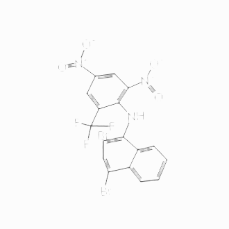 O=[N+]([O-])c1cc([N+](=O)[O-])c(Nc2c(Br)cc(Br)c3ccccc23)c(C(F)(F)F)c1